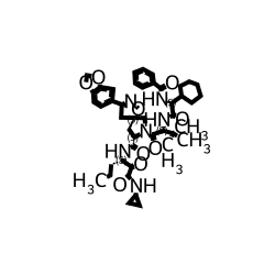 CCC[C@H](NC(=O)[C@@H]1C[C@]2(CC(c3ccc4c(c3)OCO4)=NO2)CN1C(=O)[C@@H](NC(=O)[C@@H](NC(=O)c1ccccc1)C1CCCCC1)C(C)(C)C)C(=O)C(=O)NC1CC1